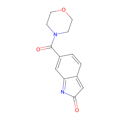 O=C1C=c2ccc(C(=O)N3CCOCC3)cc2=N1